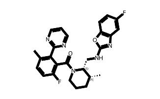 Cc1ccc(F)c(C(=O)N2CCC[C@@H](C)[C@H]2CNc2nc3cc(F)ccc3o2)c1-c1ncccn1